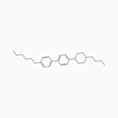 CCCCCCc1ccc(-c2ccc(C3CCC(CCCC)CC3)cc2)cc1